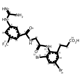 N=C(N)Nc1cc(C(=O)NCC(=O)Nc2c(Br)cc(Br)cc2CCC(=O)O)cc(C(F)(F)F)c1